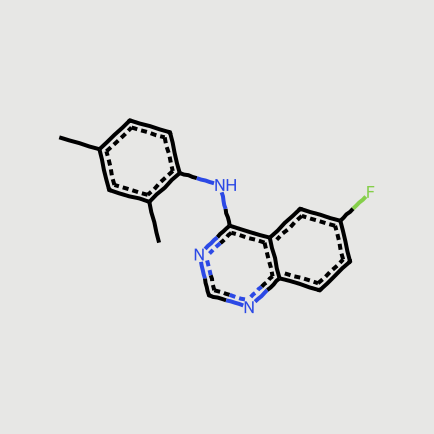 Cc1ccc(Nc2ncnc3ccc(F)cc23)c(C)c1